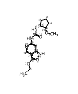 CCOc1n[nH]c2cc(NC(=O)N[C@@H]3CCC[C@H]3OC)ncc12